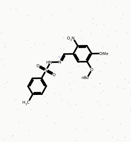 CCCCOc1cc(/C=N/NS(=O)(=O)c2ccc(C)cc2)c([N+](=O)[O-])cc1OC